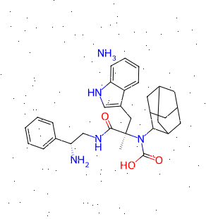 C[C@@](Cc1c[nH]c2ccccc12)(C(=O)NC[C@H](N)c1ccccc1)N(C(=O)O)C1C2CC3CC(C2)CC1C3.N